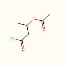 CC(=O)OC(C)CC(=O)Cl